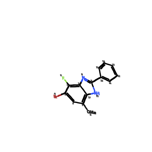 COc1cc(Br)c(F)c2nc(-c3ccccc3)[nH]c12